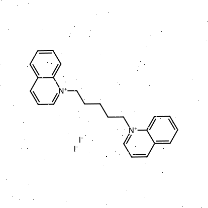 [I-].[I-].c1ccc2c(c1)ccc[n+]2CCCCC[n+]1cccc2ccccc21